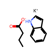 CCCC(=O)[O-].[K+].c1ccc2[nH]ccc2c1